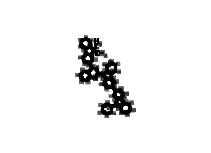 CC1(C)C2=CCCC=C2C2CC=C(C3CC(n4c5c(c6cc(-c7ccc8c9c(n(C%10C=CC=CC%10)c8c7)C=CCC9)ccc64)CCC=C5)=NC4=CC=CCC43)C=C21